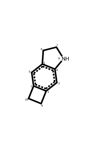 c1c2c(cc3c1CCN3)CC2